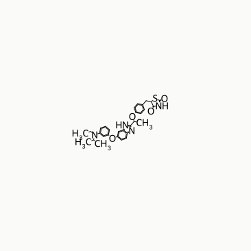 CCN(c1cccc(Oc2ccc3nc(C(C)Oc4ccc(CC5SC(=O)NC5=O)cc4)[nH]c3c2)c1)C(C)C